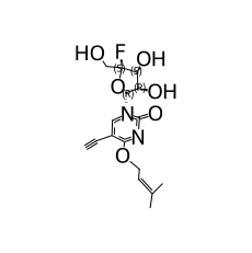 C#Cc1cn([C@@H]2O[C@](F)(CO)[C@@H](O)[C@H]2O)c(=O)nc1OCC=C(C)C